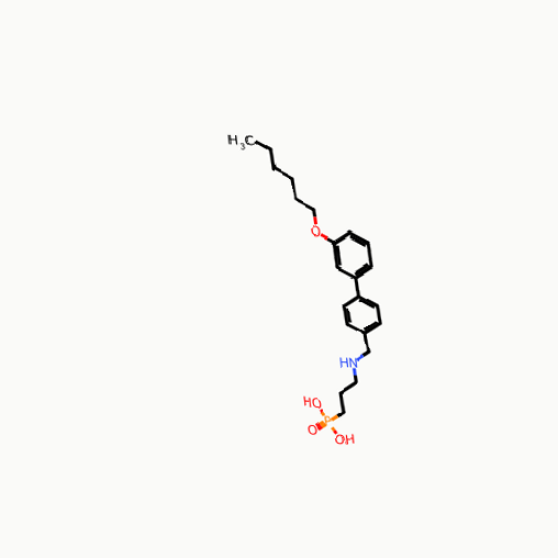 CCCCCCOc1cccc(-c2ccc(CNCCCP(=O)(O)O)cc2)c1